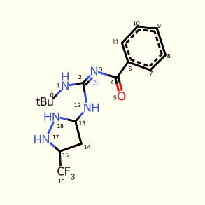 CC(C)(C)N/C(=N/C(=O)c1ccccc1)NC1CC(C(F)(F)F)NN1